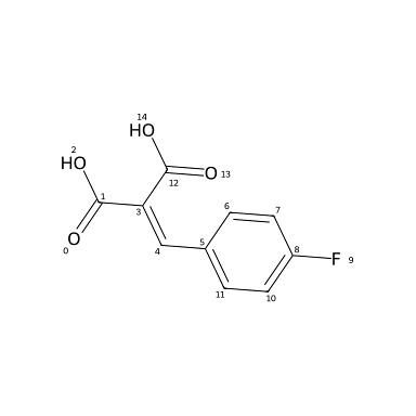 O=C(O)C(=Cc1ccc(F)cc1)C(=O)O